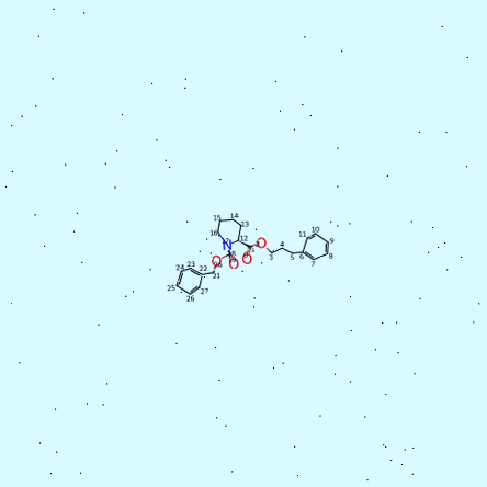 O=C(OCCCc1ccccc1)[C@@H]1CCCCN1C(=O)OCc1ccccc1